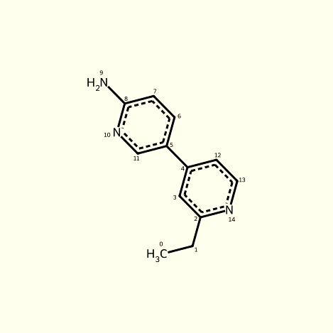 CCc1cc(-c2ccc(N)nc2)ccn1